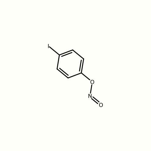 O=NOc1ccc(I)cc1